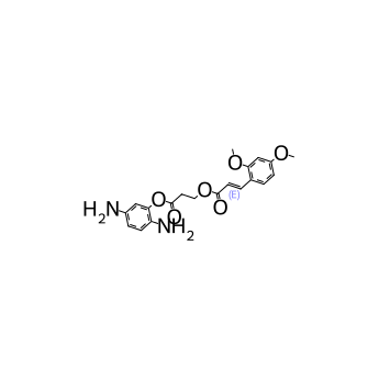 COc1ccc(/C=C/C(=O)OCCC(=O)Oc2cc(N)ccc2N)c(OC)c1